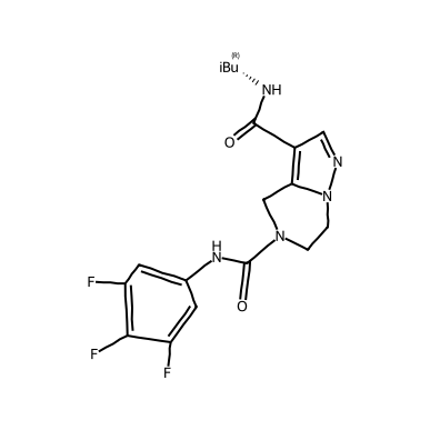 CC[C@@H](C)NC(=O)c1cnn2c1CN(C(=O)Nc1cc(F)c(F)c(F)c1)CC2